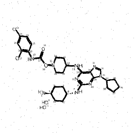 Cl.Cl.N[C@H]1CC[C@H](Nc2nc(NC3CCN(OC(=O)Nc4ccc(Cl)cc4Cl)CC3)c3ncn(C4CCCC4)c3n2)CC1